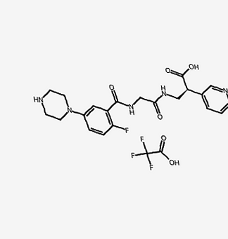 O=C(CNC(=O)c1cc(N2CCNCC2)ccc1F)NC[C@@H](C(=O)O)c1cccnc1.O=C(O)C(F)(F)F